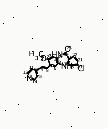 COc1cc2c(cc1C=Cc1ccncc1)Nc1cc(Cl)ccc1C(=O)N2